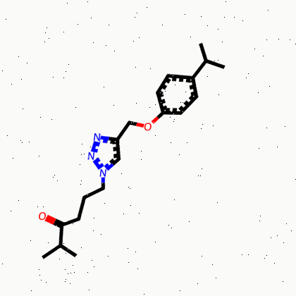 CC(C)C(=O)CCCn1cc(COc2ccc(C(C)C)cc2)nn1